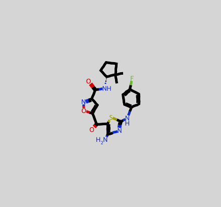 CC1(C)CCC[C@H]1NC(=O)c1cc(C(=O)c2sc(Nc3ccc(F)cc3)nc2N)on1